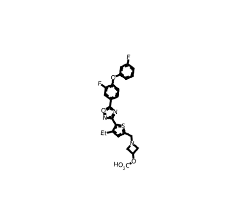 CCc1cc(CN2CC(OC(=O)O)C2)sc1-c1noc(-c2ccc(Oc3cccc(F)c3)c(F)c2)n1